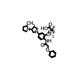 CC1CCCN1C1CCN(c2ccc(NC(=O)COc3ccccc3)c(C(F)(F)F)c2)C1.O=C(O)C(F)(F)F